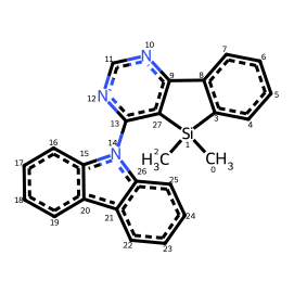 C[Si]1(C)c2ccccc2-c2ncnc(-n3c4ccccc4c4ccccc43)c21